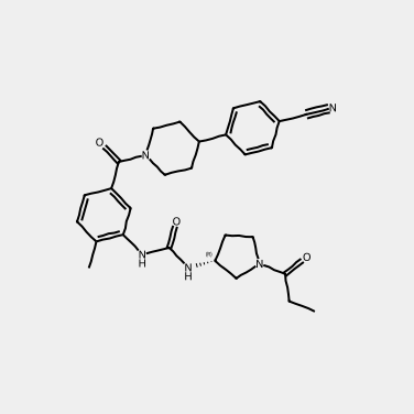 CCC(=O)N1CC[C@@H](NC(=O)Nc2cc(C(=O)N3CCC(c4ccc(C#N)cc4)CC3)ccc2C)C1